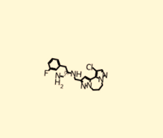 NC[C@H](Cc1cccc(F)c1)NCc1cc2n(n1)CCCn1ncc(Cl)c1-2